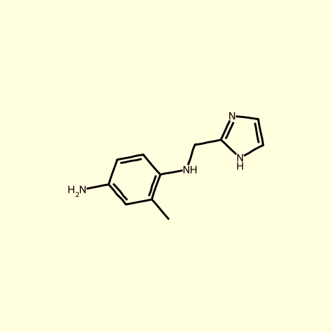 Cc1cc(N)ccc1NCc1ncc[nH]1